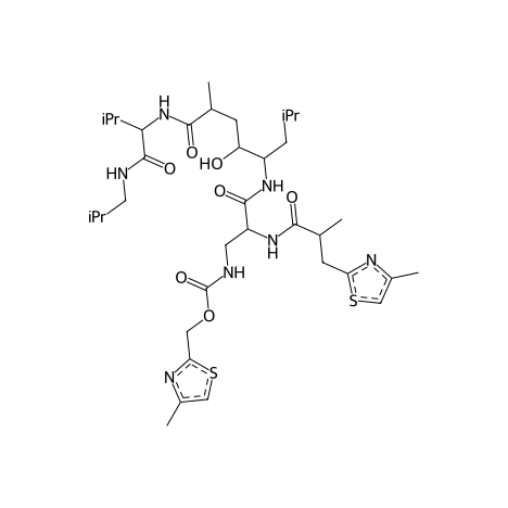 Cc1csc(COC(=O)NCC(NC(=O)C(C)Cc2nc(C)cs2)C(=O)NC(CC(C)C)C(O)CC(C)C(=O)NC(C(=O)NCC(C)C)C(C)C)n1